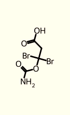 NC(=O)OC(Br)(Br)CC(=O)O